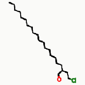 CCCCCCCCCCCCCCCCCCC(C=O)CCCl